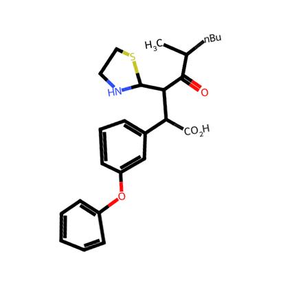 CCCCC(C)C(=O)C(C1NCCS1)C(C(=O)O)c1cccc(Oc2ccccc2)c1